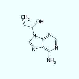 C=CC(O)n1cnc2c(N)ncnc21